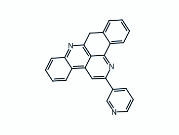 c1cncc(-c2cc3c4c(nc5ccccc53)Cc3ccccc3-c4n2)c1